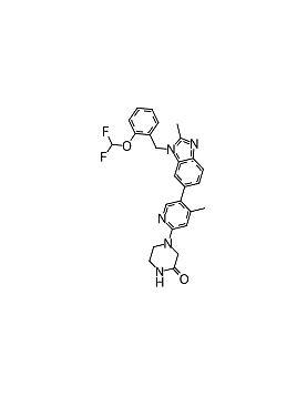 Cc1cc(N2CCNC(=O)C2)ncc1-c1ccc2nc(C)n(Cc3ccccc3OC(F)F)c2c1